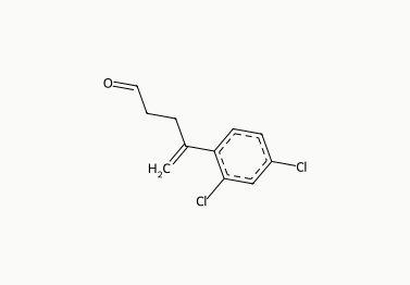 C=C(CCC=O)c1ccc(Cl)cc1Cl